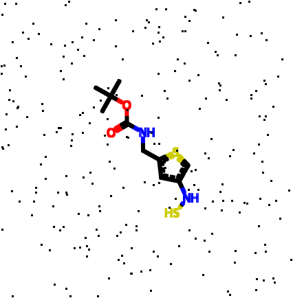 CC(C)(C)OC(=O)NCc1cc(NS)cs1